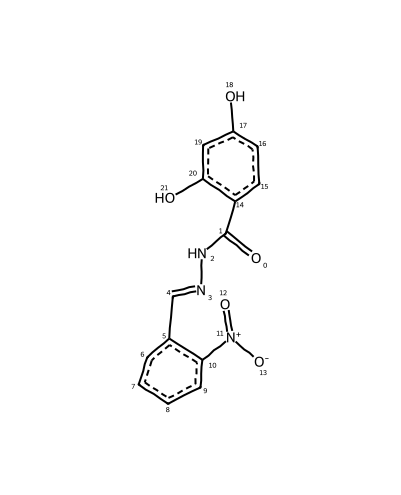 O=C(NN=Cc1ccccc1[N+](=O)[O-])c1ccc(O)cc1O